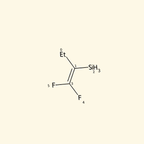 CCC([SiH3])=C(F)F